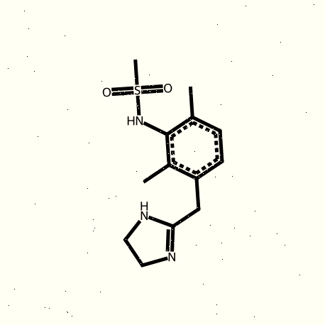 Cc1ccc(CC2=NCCN2)c(C)c1NS(C)(=O)=O